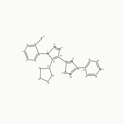 Fc1ccccc1-n1nnc(-c2nc(-c3ccncc3)no2)c1C1CCCC1